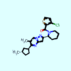 Cc1cn2nc([C@@H]3CCCCN3C(=O)c3sccc3Cl)cc2nc1C1CC[C@H](C)C1